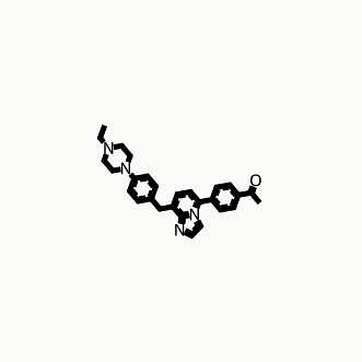 CCN1CCN(c2ccc(Cc3ccc(-c4ccc(C(C)=O)cc4)n4ccnc34)cc2)CC1